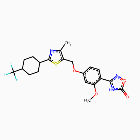 COc1cc(OCc2sc(C3CCC(C(F)(F)F)CC3)nc2C)ccc1-c1noc(=O)[nH]1